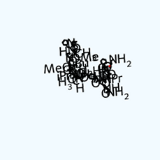 CC[C@H](C)[C@@H]([C@@H](CC(=O)N1CCC[C@H]1[C@H](OC)[C@@H](C)C(=O)N[C@@H](Cc1ccccc1)c1nccs1)OC)N(C)C(=O)[C@@H](NC(=O)C(C)(C)NC(=O)OCc1ccc(NC(=O)[C@H](CCCNC(N)=O)NC(=O)[C@@H](NC(=O)[C@@H](CCCCN)NS(=O)(=O)c2ccccc2)C(C)C)cc1)C(C)C